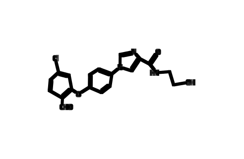 O=Cc1ccc(Cl)cc1Oc1ccc(-n2cnc(C(=O)NCCO)c2)cc1